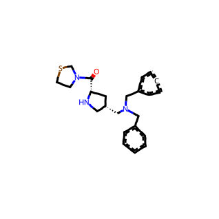 O=C([C@@H]1C[C@H](CN(Cc2ccccc2)Cc2ccccc2)CN1)N1CCSC1